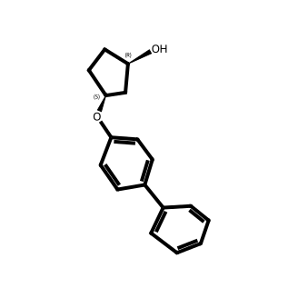 O[C@@H]1CC[C@H](Oc2ccc(-c3ccccc3)cc2)C1